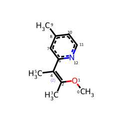 CO/C(C)=C(/C)c1cc(C)ccn1